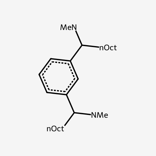 CCCCCCCCC(NC)c1cccc(C(CCCCCCCC)NC)c1